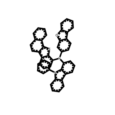 c1ccc(-n2c3ccccc3c3cccc(N(c4ccc5c(c4)oc4ccccc45)c4cccc5c4sc4c6ccccc6ccc54)c32)cc1